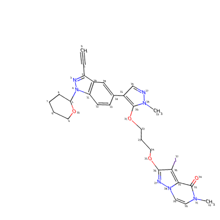 C#Cc1nn(C2CCCCO2)c2ccc(-c3cnn(C)c3OCCCOc3nn4ccn(C)c(=O)c4c3I)cc12